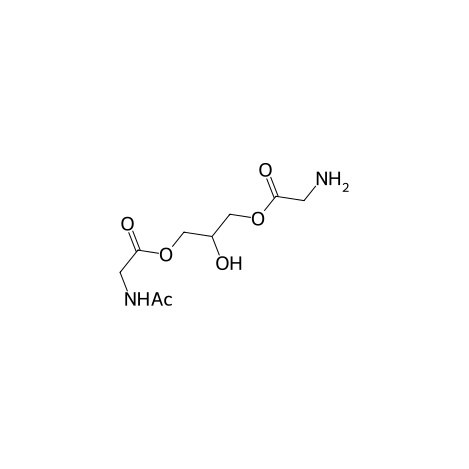 CC(=O)NCC(=O)OCC(O)COC(=O)CN